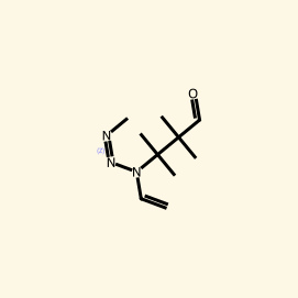 C=CN(/N=N\C)C(C)(C)C(C)(C)C=O